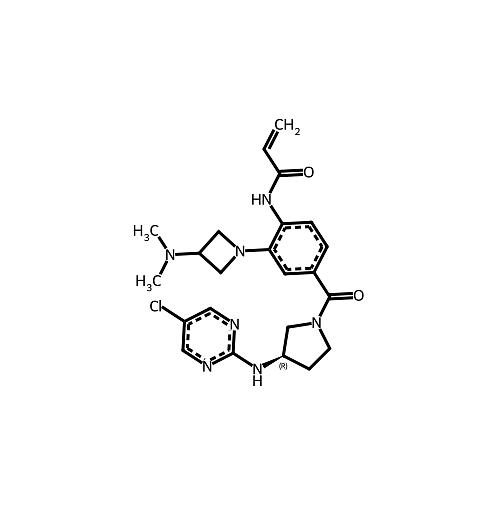 C=CC(=O)Nc1ccc(C(=O)N2CC[C@@H](Nc3ncc(Cl)cn3)C2)cc1N1CC(N(C)C)C1